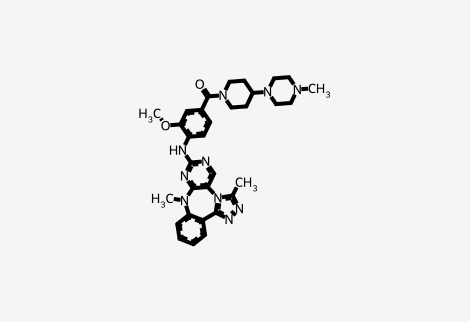 COc1cc(C(=O)N2CCC(N3CCN(C)CC3)CC2)ccc1Nc1ncc2c(n1)N(C)c1ccccc1-c1nnc(C)n1-2